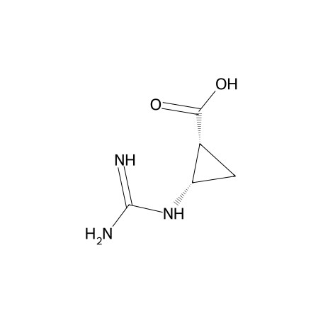 N=C(N)N[C@H]1C[C@H]1C(=O)O